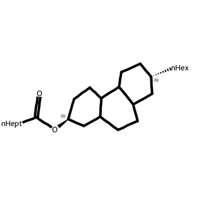 CCCCCCCC(=O)O[C@H]1CCC2C(CCC3C[C@@H](CCCCCC)CCC32)C1